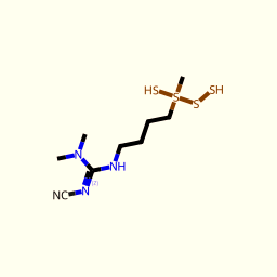 CN(C)/C(=N\C#N)NCCCCS(C)(S)SS